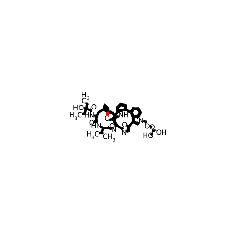 CCC(O)(CC)C(=O)N[C@H]1Cc2ccc3c(c2)C24c5cccc(c5NC2O3)-c2cccc3c2c(cn3COOP(O)O)-c2cnc(o2)-c2nc(oc24)C(C(C)C)NC1=O